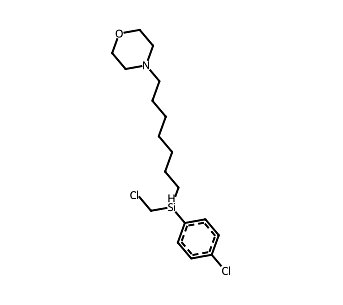 ClC[SiH](CCCCCCCN1CCOCC1)c1ccc(Cl)cc1